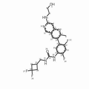 Cc1nc2cc(NCCO)ncc2cc1-c1cc(NC(=O)NCC2CC(F)(F)C2)c(F)cc1F